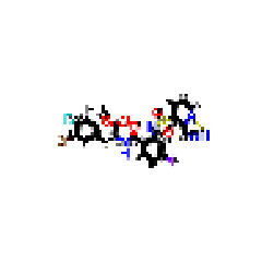 COC(=O)[C@H](Cc1ccc(F)c(Br)c1)NC(=O)c1ccc(I)cc1NS(=O)(=O)C1=CC=CN2SNC=C12